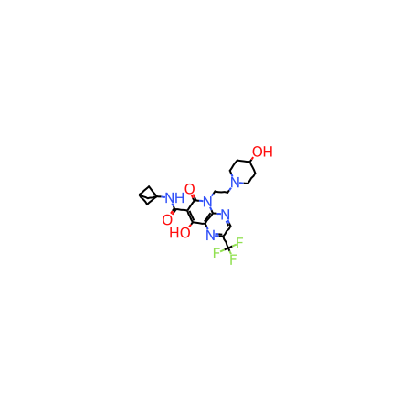 O=C(NC12CC(C1)C2)c1c(O)c2nc(C(F)(F)F)cnc2n(CCN2CCC(O)CC2)c1=O